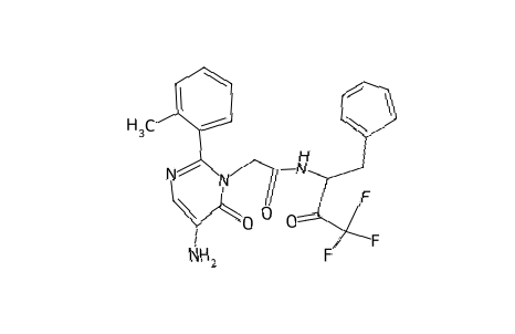 Cc1ccccc1-c1ncc(N)c(=O)n1CC(=O)NC(Cc1ccccc1)C(=O)C(F)(F)F